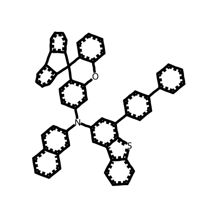 c1ccc(-c2ccc(-c3cc(N(c4ccc5c(c4)Oc4ccccc4C54c5ccccc5-c5ccccc54)c4ccc5ccccc5c4)cc4c3sc3ccccc34)cc2)cc1